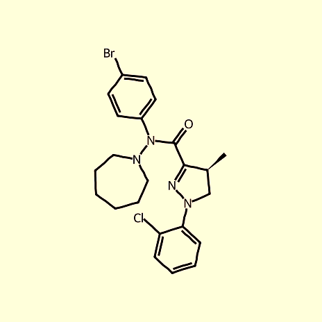 C[C@H]1CN(c2ccccc2Cl)N=C1C(=O)N(c1ccc(Br)cc1)N1CCCCCC1